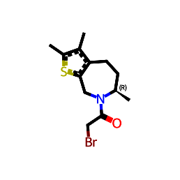 Cc1sc2c(c1C)CC[C@@H](C)N(C(=O)CBr)C2